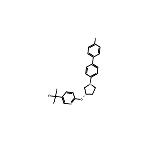 Fc1ccc(-c2ccc(N3CC[C@H](Oc4ccc(C(F)(F)F)cn4)C3)cc2)cc1